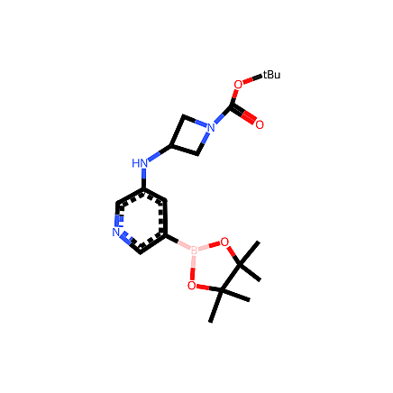 CC(C)(C)OC(=O)N1CC(Nc2cncc(B3OC(C)(C)C(C)(C)O3)c2)C1